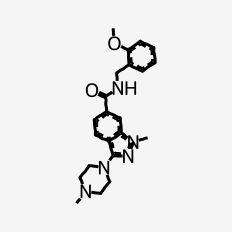 COc1ccccc1CNC(=O)c1ccc2c(N3CCN(C)CC3)nn(C)c2c1